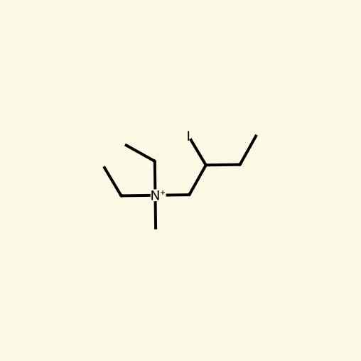 CCC(I)C[N+](C)(CC)CC